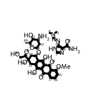 CN(C)/N=N/c1[nH]cnc1C(N)=O.COc1cccc2c1C(=O)c1c(O)c3c(c(O)c1C2=O)C[C@@](O)(C(=O)CO)C[C@@H]3O[C@H]1C[C@H](N)[C@H](O)[C@H](C)O1